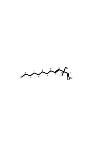 CCCCCCCCC=CC(C)(C)C=O